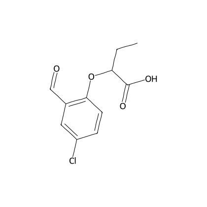 CCC(Oc1ccc(Cl)cc1C=O)C(=O)O